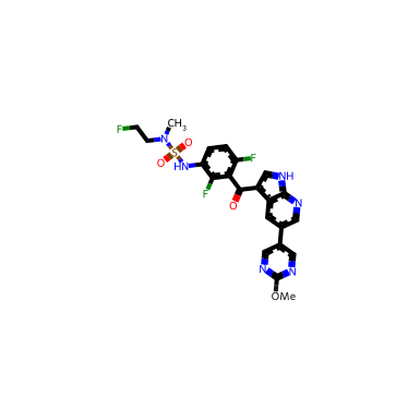 COc1ncc(-c2cnc3[nH]cc(C(=O)c4c(F)ccc(NS(=O)(=O)N(C)CCF)c4F)c3c2)cn1